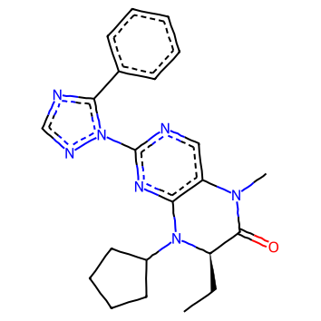 CC[C@@H]1C(=O)N(C)c2cnc(-n3ncnc3-c3ccccc3)nc2N1C1CCCC1